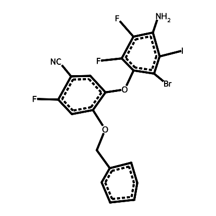 N#Cc1cc(Oc2c(F)c(F)c(N)c(I)c2Br)c(OCc2ccccc2)cc1F